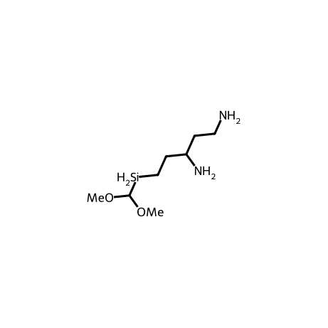 COC(OC)[SiH2]CCC(N)CCN